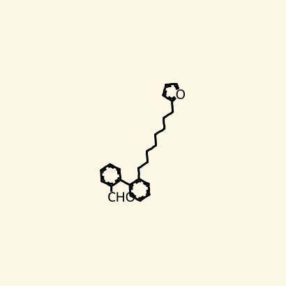 O=Cc1ccccc1-c1ccccc1CCCCCCCCc1ccco1